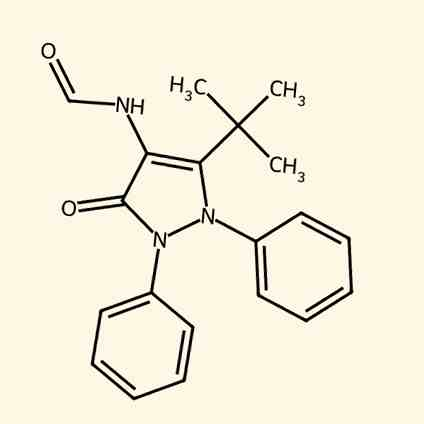 CC(C)(C)c1c(NC=O)c(=O)n(-c2ccccc2)n1-c1ccccc1